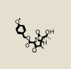 COc1ccc(COC(=O)C2C(=O)[C@H](C)[C@H]3[C@@H]([C@@H](C)O)C(=O)N23)cc1